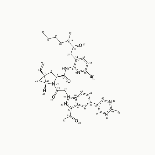 C=C[C@@]12C[C@@H](C(=O)Nc3nc(Br)ccc3CC(=O)N(C)CCCC)N(C(=O)Cn3nc(C(C)=O)c4cc(-c5cnc(C)nc5)ccc43)[C@@H]1C2